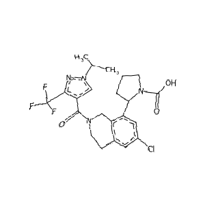 CC(C)n1cc(C(=O)N2CCc3cc(Cl)cc(C4CCCN4C(=O)O)c3C2)c(C(F)(F)F)n1